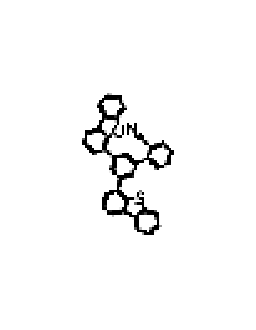 N#Cc1ccccc1-c1cc(-c2cccc3c2oc2ccccc23)cc(-c2cccc3c2sc2ccccc23)c1